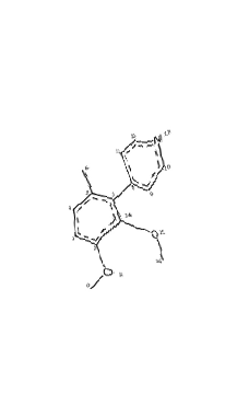 COc1ccc(C)c(-c2c[c]ncc2)c1OC